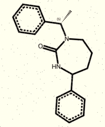 C[C@@H](c1ccccc1)N1CCCC(c2ccccc2)NC1=O